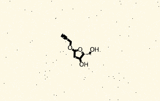 C#CCOC1CC(O)[C@@H](CO)O1